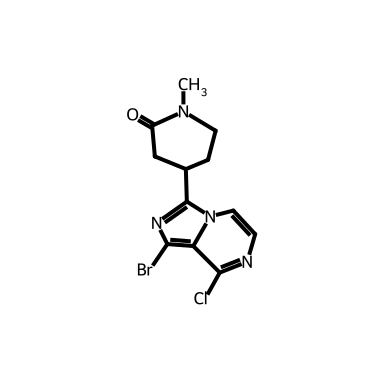 CN1CCC(c2nc(Br)c3c(Cl)nccn23)CC1=O